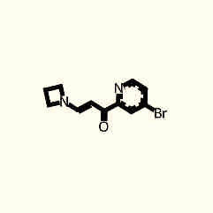 O=C(/C=C/N1CCC1)c1cc(Br)ccn1